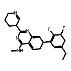 CCC1=CC(C2C=c3nc(C4C=NCCC4)nc(NC)c3=CC2)=C(F)C(F)C1